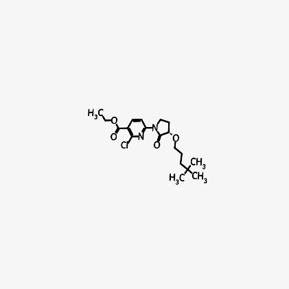 CCOC(=O)c1ccc(N2CC[C@H](OCCCC(C)(C)C)C2=O)nc1Cl